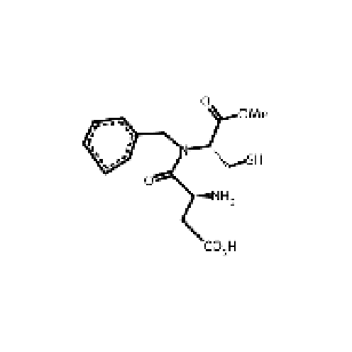 COC(=O)[C@H](CS)N(Cc1ccccc1)C(=O)[C@@H](N)CC(=O)O